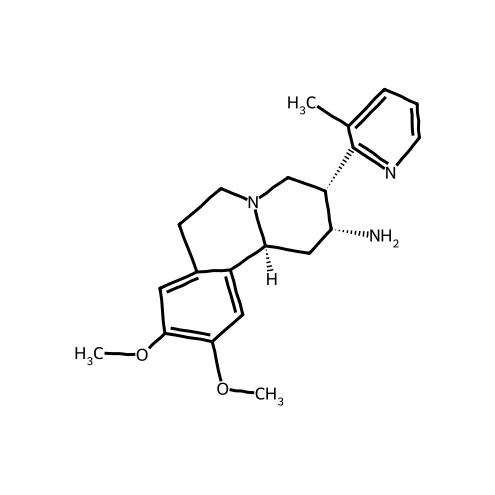 COc1cc2c(cc1OC)[C@@H]1C[C@@H](N)[C@@H](c3ncccc3C)CN1CC2